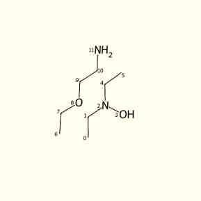 CCN(O)CC.CCOCCN